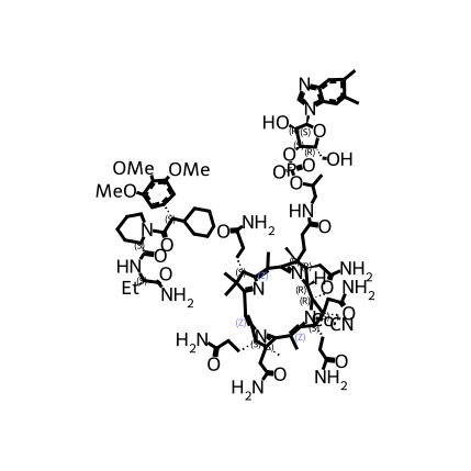 C/C1=C2N=C(/C=C3N=C(/C(C)=C4/[C@@H](CCC(N)=O)[C@](C)(CC(N)=O)[C@](C)([C@@H]5N=C1[C@](C)(CCC(=O)NCC(C)OP(=O)([O-])O[C@H]1[C@@H](O)[C@@H](n6cnc7cc(C)c(C)cc76)O[C@@H]1CO)[C@H]5CC(N)=O)[N]4[Co+][C]#N)[C@@](C)(CC(N)=O)[C@@H]\3CCC(N)=O)C(C)(C)[C@@H]/2CCC(N)=O.CC[C@H](NC(=O)[C@@H]1CCCCN1C(=O)[C@H](c1cc(OC)c(OC)c(OC)c1)C1CCCCC1)C(N)=O